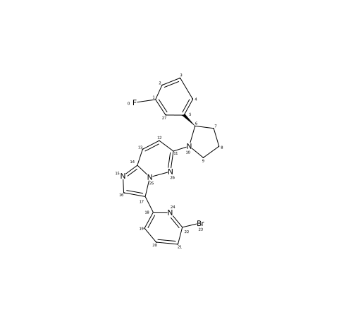 Fc1cccc([C@H]2CCCN2c2ccc3ncc(-c4cccc(Br)n4)n3n2)c1